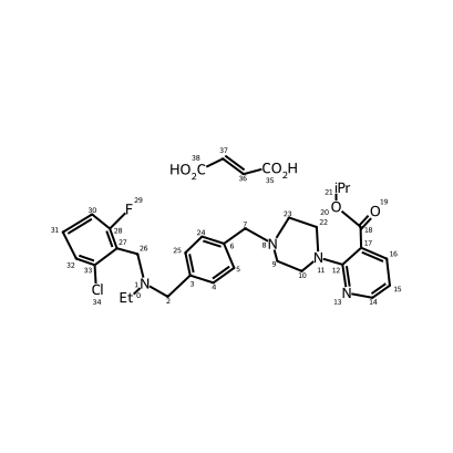 CCN(Cc1ccc(CN2CCN(c3ncccc3C(=O)OC(C)C)CC2)cc1)Cc1c(F)cccc1Cl.O=C(O)C=CC(=O)O